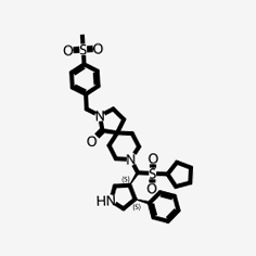 CS(=O)(=O)c1ccc(CN2CCC3(CCN(C([C@@H]4CNC[C@@H]4c4ccccc4)S(=O)(=O)C4CCCC4)CC3)C2=O)cc1